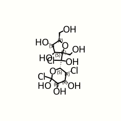 OC[C@H]1O[C@](CO)(C(O)(Cl)[C@H]2OC(O)(Cl)[C@H](O)[C@@H](O)[C@H]2Cl)[C@@H](O)[C@@H]1O